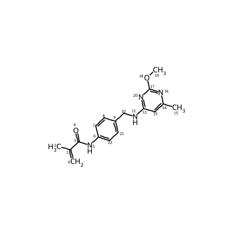 C=C(C)C(=O)Nc1ccc(CNc2cc(C)nc(OC)n2)cc1